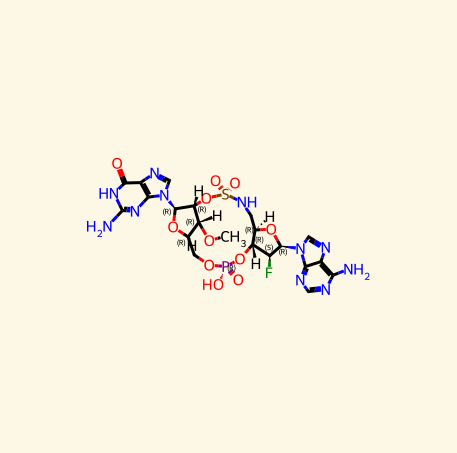 CO[C@H]1[C@H]2OS(=O)(=O)NC[C@H]3O[C@@H](n4cnc5c(N)ncnc54)[C@@H](F)[C@@H]3O[P@](=O)(O)OC[C@H]1O[C@H]2n1cnc2c(=O)[nH]c(N)nc21